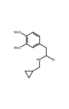 CCC(Cc1ccc(OC)c(OC)c1)NCC1CC1